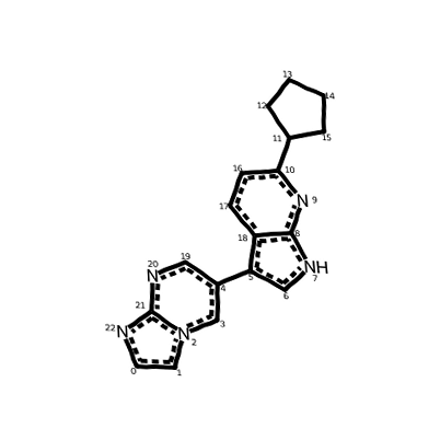 c1cn2cc(-c3c[nH]c4nc(C5CCCC5)ccc34)cnc2n1